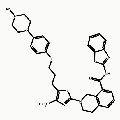 CC(=O)N1CCN(c2ccc(OCCCc3sc(N4CCc5cccc(C(=O)Nc6nc7ccccc7s6)c5C4)nc3C(=O)O)cc2)CC1